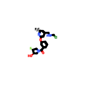 O=C(c1cccc(Oc2cc(CNCCl)cc(C(F)(F)F)n2)c1)N1C[C@@H](O)[C@H](F)C1